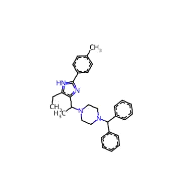 CCc1[nH]c(-c2ccc(C)cc2)nc1C(C)N1CCN(C(c2ccccc2)c2ccccc2)CC1